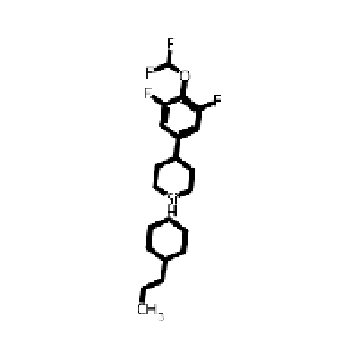 CCCC1CCC([SiH]2CCC(c3cc(F)c(OC(F)F)c(F)c3)CC2)CC1